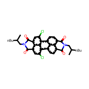 CCCCC(C)CN1C(=O)c2ccc3c4c(Cl)cc5c6c(cc(Cl)c(c7ccc(c2c37)C1=O)c64)C(=O)N(CC(C)CCCC)C5=O